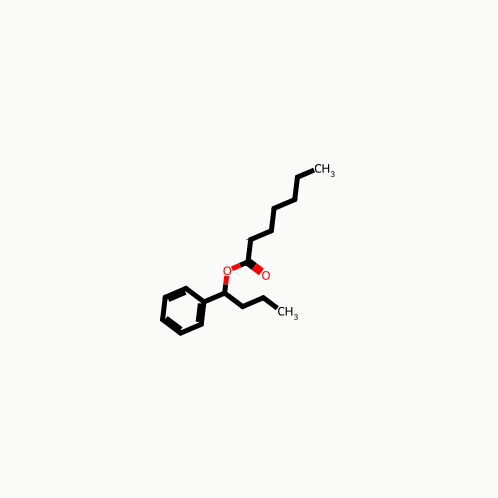 CCCCC[CH]C(=O)OC(CCC)c1ccccc1